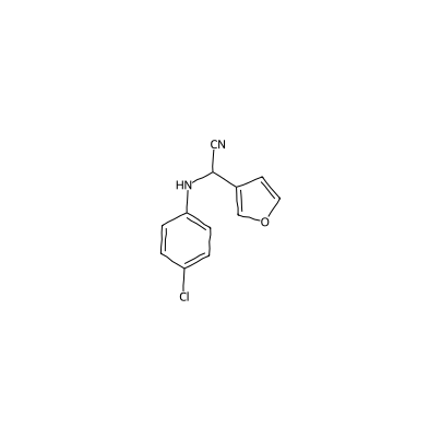 N#CC(Nc1ccc(Cl)cc1)c1ccoc1